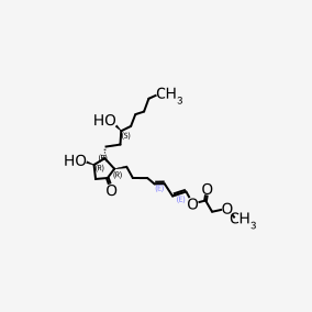 CCCCC[C@H](O)CC[C@H]1[C@H](O)CC(=O)[C@@H]1CCC/C=C/C=C/OC(=O)COC